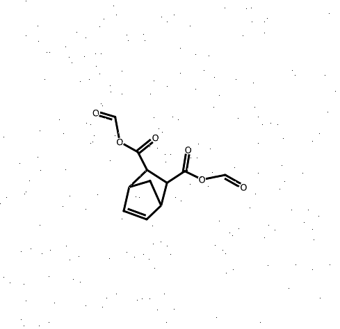 O=COC(=O)C1C2C=CC(C2)C1C(=O)OC=O